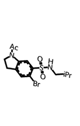 CC(=O)N1CCc2cc(Br)c(S(=O)(=O)NCC(C)C)cc21